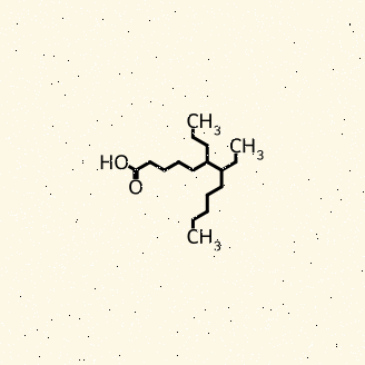 CCCCCC(CC)C(CCC)CCCCC(=O)O